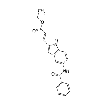 CCOC(=O)/C=C/c1cc2cc(NC(=O)c3ccccc3)ccc2[nH]1